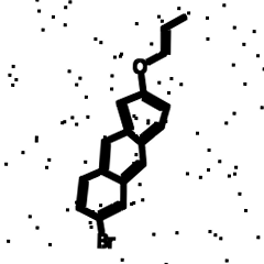 CC=COc1ccc2cc3cc(Br)ccc3cc2c1